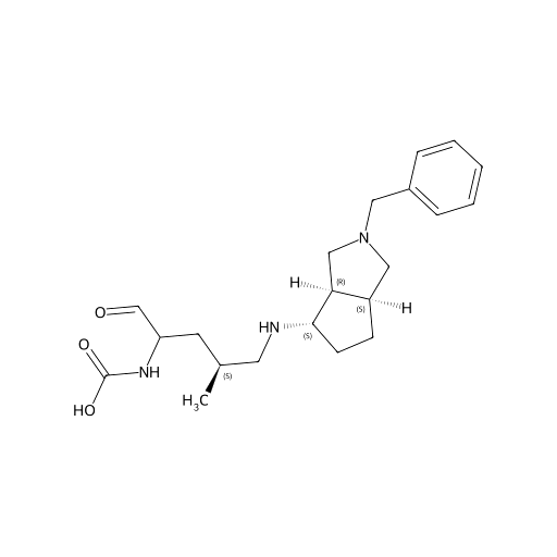 C[C@H](CN[C@H]1CC[C@@H]2CN(Cc3ccccc3)C[C@@H]21)CC(C=O)NC(=O)O